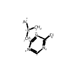 CC(=O)N(C)C.Clc1ncncn1